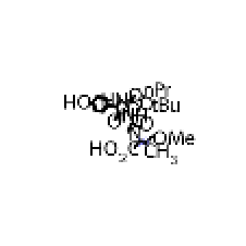 CCCC(OC(=O)NC(C(=O)NC1CN(/C(C(=O)O)=C(/C)COC)C1=O)c1ccc(O)cc1)OC(C)(C)C